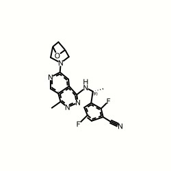 Cc1nnc(N[C@H](C)c2cc(F)cc(C#N)c2F)c2cc(N3CC4CC(C3)O4)ncc12